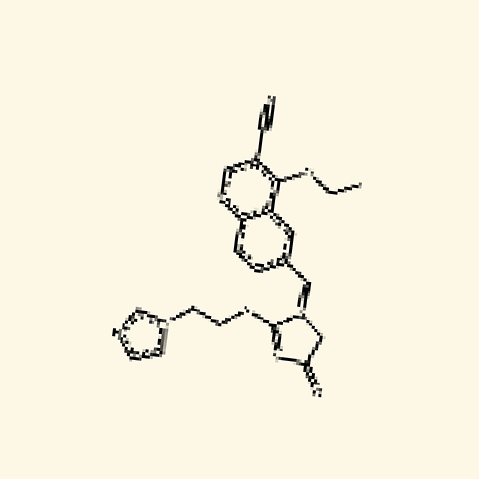 CCOc1c(C#N)cnc2ccc(/C=S3/CC(=O)N=C3NCCn3ccnc3)cc12